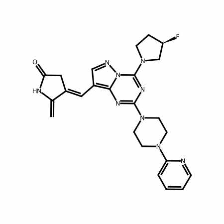 C=C1NC(=O)C/C1=C\c1cnn2c(N3CC[C@@H](F)C3)nc(N3CCN(c4ccccn4)CC3)nc12